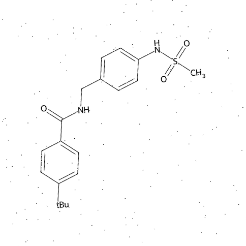 CC(C)(C)c1ccc(C(=O)NCc2ccc(NS(C)(=O)=O)cc2)cc1